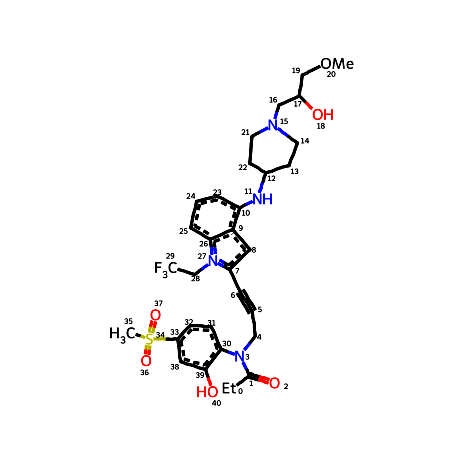 CCC(=O)N(CC#Cc1cc2c(NC3CCN(CC(O)COC)CC3)cccc2n1CC(F)(F)F)c1ccc(S(C)(=O)=O)cc1O